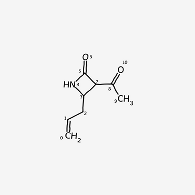 C=CCC1NC(=O)C1C(C)=O